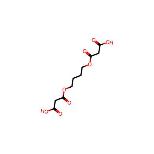 O=C(O)CC(=O)OCCCCOC(=O)CC(=O)O